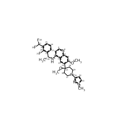 COc1cc2nccc(N[C@H](C)c3cccc(C(F)F)c3F)c2cc1C1(OC)CCN(c2ccn(C)n2)CC1